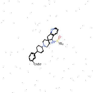 COc1cccc(C2CCC(N3CCC4(CC3)Cc3ncccc3[C@H]4N[S@+]([O-])C(C)(C)C)CC2)c1